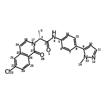 C[C@H](C(=O)Nc1ccc(-c2ccnn2C)cc1)n1ccc2cc(Cl)ccc2c1=O